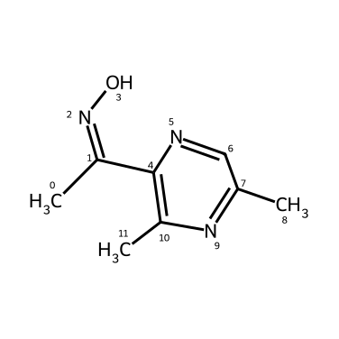 C/C(=N/O)c1ncc(C)nc1C